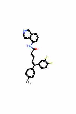 O=C(/C=C/C=C(/c1ccc(C(F)(F)F)cc1)c1ccc(F)c(F)c1)Nc1cccc2cnccc12